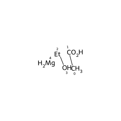 CC(=O)O.CCO.[MgH2]